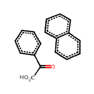 O=C(O)C(=O)c1ccccc1.c1ccc2ccccc2c1